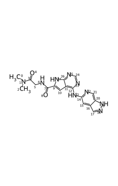 CN(C)C(=O)CNC(=O)c1cc2c(Nc3cc4cn[nH]c4cn3)ncnc2[nH]1